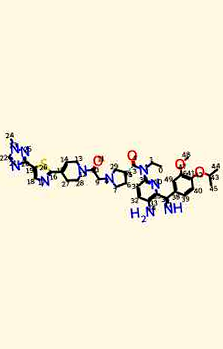 CCN(C(=O)[C@@H]1CCN(CC(=O)N2CC=C(c3ncc(-c4ncn(C)n4)s3)CC2)C1)c1ccc(N)c(C(=N)c2ccc(OC(C)C)c(OC)c2)n1